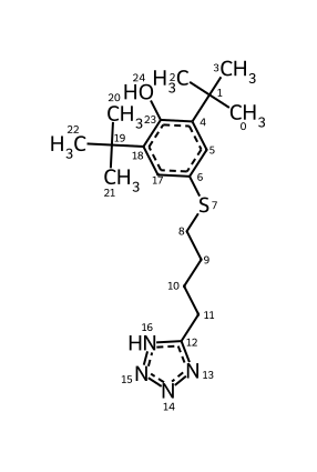 CC(C)(C)c1cc(SCCCCc2nnn[nH]2)cc(C(C)(C)C)c1O